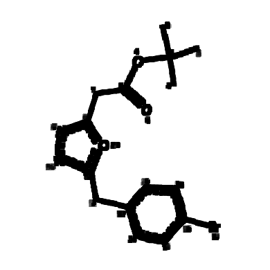 CC(C)(C)OC(=O)Cc1nnc(Cc2ccc(Br)cc2)o1